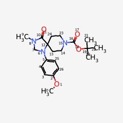 COc1ccc(N2CN(C)C(=O)C23CCN(C(=O)OC(C)(C)C)CC3)cc1